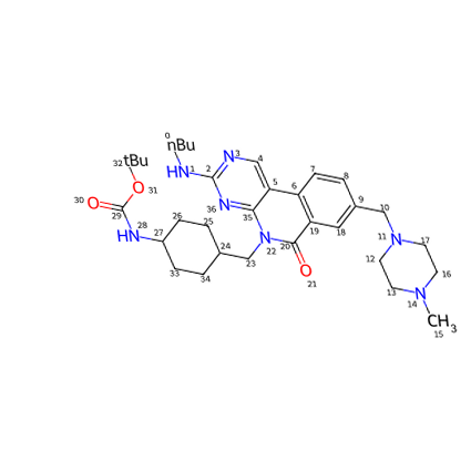 CCCCNc1ncc2c3ccc(CN4CCN(C)CC4)cc3c(=O)n(CC3CCC(NC(=O)OC(C)(C)C)CC3)c2n1